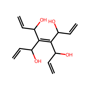 C=CC(O)C(=C(C(O)C=C)C(O)C=C)C(O)C=C